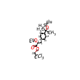 CCOC(Cc1ccc(C(C)(C)O[SiH2]C(C)(C)C)cc1)C(=O)OCC(Cl)(Cl)Cl